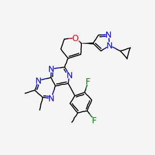 Cc1cc(-c2nc(C3=C[C@H](c4cnn(C5CC5)c4)OCC3)nc3nc(C)c(C)nc23)c(F)cc1F